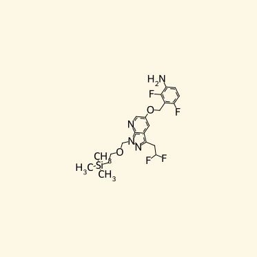 C[Si](C)(C)CCOCn1nc(CC(F)F)c2cc(OCc3c(F)ccc(N)c3F)cnc21